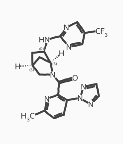 Cc1ccc(-n2nccn2)c(C(=O)N2C[C@H]3C[C@@H](Nc4ncc(C(F)(F)F)cn4)[C@@H]2C3)n1